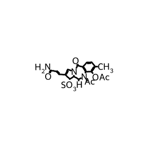 CC(=O)Oc1c(C)ccc2c1N(C(C)=O)C(S(=O)(=O)O)C1CC(C=CC(N)=O)=CN1C2=O